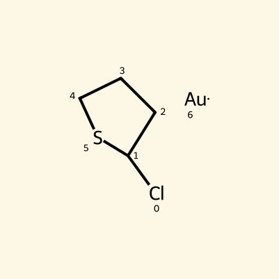 ClC1CCCS1.[Au]